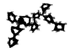 c1ccc(-c2ccc(N(c3ccccc3)c3cccc(-c4ccccc4-c4cccc(N(c5ccccc5)c5ccc(-c6ccccc6)cc5)c4)c3)cc2)cc1